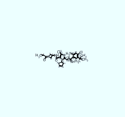 C=CC(=O)N1CC(NC(=O)c2c(Cl)nc(CNC(=N)c3cc(C(C)(C)C)c(Cl)cc3N)n2C2CC=CC2)C1